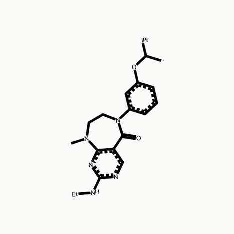 [CH2]C(Oc1cccc(N2CCN(C)c3nc(NCC)ncc3C2=O)c1)C(C)C